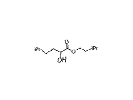 CC(C)CCOC(=O)C(O)CCC(C)C